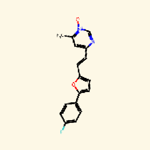 [O-][n+]1cnc(C=Cc2ccc(-c3ccc(F)cc3)o2)cc1C(F)(F)F